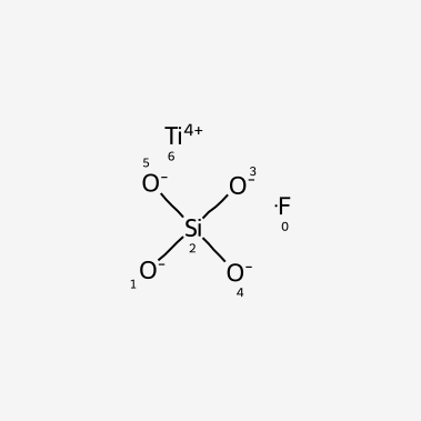 [F].[O-][Si]([O-])([O-])[O-].[Ti+4]